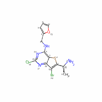 C[C@H](N)c1sc2c(NCc3ccco3)nc(Cl)nc2c1Br